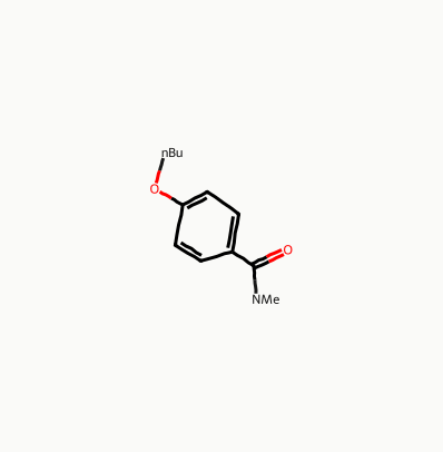 [CH2-][NH2+]C(=O)c1ccc(OCCCC)cc1